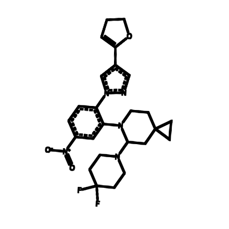 O=[N+]([O-])c1ccc(-n2cc(C3=CCCO3)cn2)c(N2CCC3(CC3)CC2N2CCC(F)(F)CC2)c1